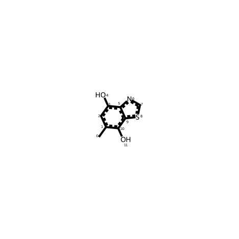 Cc1cc(O)c2ncsc2c1O